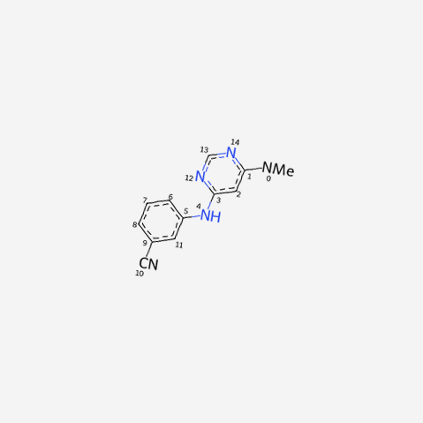 CNc1cc(Nc2cccc(C#N)c2)ncn1